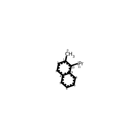 Cc1ccc2ccccc2c1C(C)C